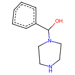 OC(c1ccccc1)N1CCNCC1